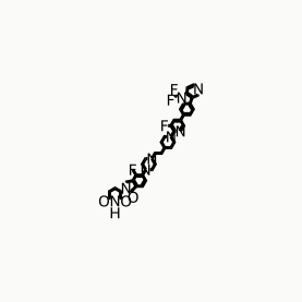 O=C1CCC(N2Cc3c(ccc(N4CCN(CCC5CCN(c6ncc(-c7ccc8c9cnccc9n(C(F)F)c8c7)cc6F)CC5)CC4)c3F)C2=O)C(=O)N1